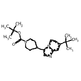 CC(C)(C)OC(=O)N1CCC(c2cnc3cc(C(C)(C)C)ccn23)CC1